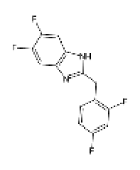 Fc1ccc(Cc2nc3cc(F)c(F)cc3[nH]2)c(F)c1